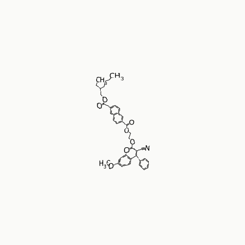 CCCCC(CC)COC(=O)c1ccc2cc(C(=O)OCCOC(=O)/C(C#N)=C(/c3ccccc3)c3ccc(OC)cc3)ccc2c1